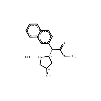 COC(=O)C(c1ccc2ccccc2c1)[C@@H]1C[C@@H](O)CN1.Cl